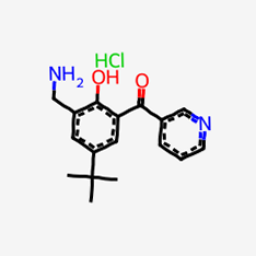 CC(C)(C)c1cc(CN)c(O)c(C(=O)c2cccnc2)c1.Cl